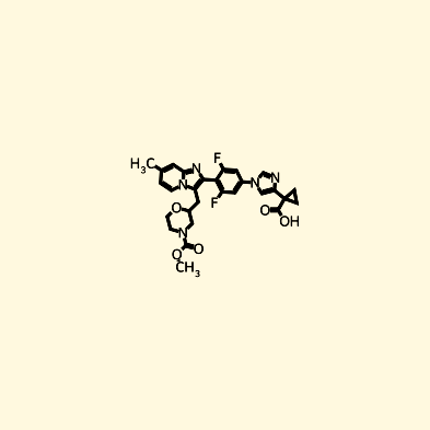 COC(=O)N1CCOC(Cc2c(-c3c(F)cc(-n4cnc(C5(C(=O)O)CC5)c4)cc3F)nc3cc(C)ccn23)C1